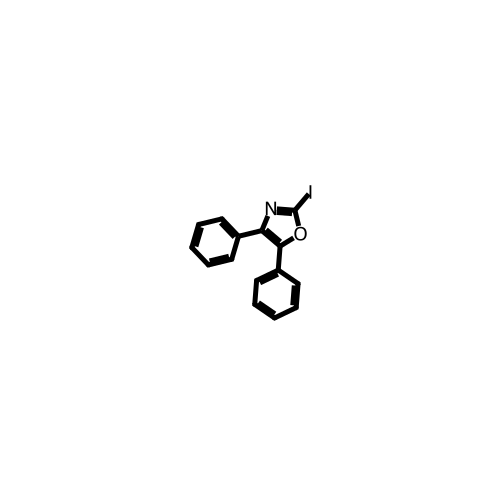 Ic1nc(-c2ccccc2)c(-c2ccccc2)o1